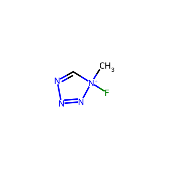 C[N+]1(F)C=NN=N1